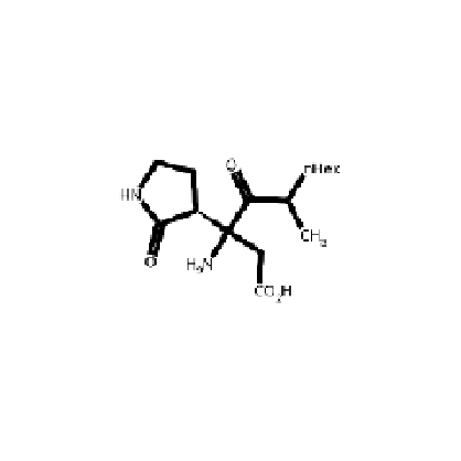 CCCCCCC(C)C(=O)C(N)(CC(=O)O)[C@@H]1CCNC1=O